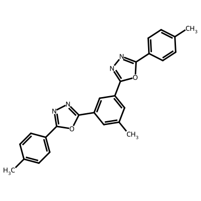 Cc1ccc(-c2nnc(-c3cc(C)cc(-c4nnc(-c5ccc(C)cc5)o4)c3)o2)cc1